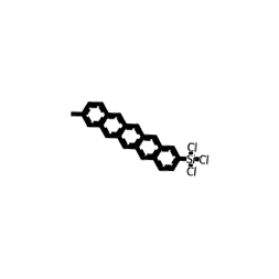 Cc1ccc2cc3cc4cc5cc([Si](Cl)(Cl)Cl)ccc5cc4cc3cc2c1